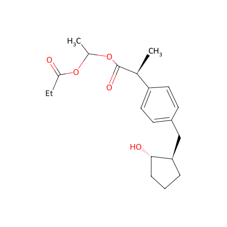 CCC(=O)OC(C)OC(=O)[C@@H](C)c1ccc(C[C@H]2CCC[C@@H]2O)cc1